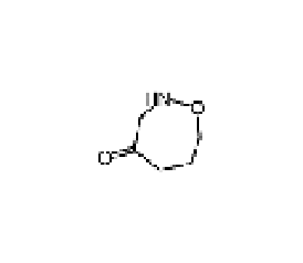 O=C1CCCONC1